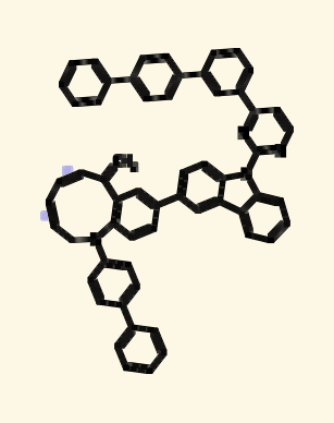 C=C1/C=C\C=C/CN(c2ccc(-c3ccccc3)cc2)c2ccc(-c3ccc4c(c3)c3ccccc3n4-c3nccc(-c4cccc(-c5ccc(-c6ccccc6)cc5)c4)n3)cc21